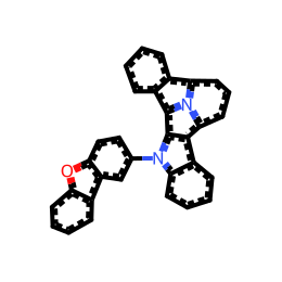 c1ccc2c(c1)oc1ccc(-n3c4ccccc4c4c3c3c5ccccc5c5cccc4n53)cc12